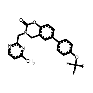 Cc1ccnc(CN2Cc3cc(-c4ccc(OC(F)(F)F)cc4)ccc3OC2=O)n1